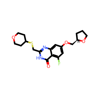 O=c1[nH]c(CSC2CCOCC2)nc2cc(OC[C@H]3CCCO3)cc(F)c12